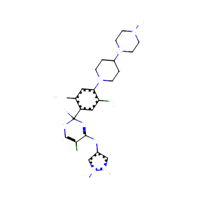 COc1cc(N2CCC(N3CCN(C)CC3)CC2)c(Br)cc1C1(N)N=C(Nc2cnn(C)c2)C(Cl)=CN1